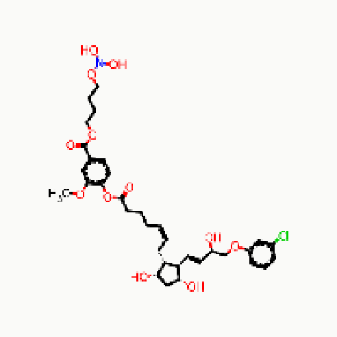 COc1cc(C(=O)OCCCCON(O)O)ccc1OC(=O)CCC/C=C\C[C@@H]1[C@@H](/C=C/[C@@H](O)COc2cccc(Cl)c2)[C@H](O)C[C@@H]1O